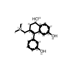 CN(C)CC1=C(c2cccc(O)c2)c2cc(O)ccc2CC1.Cl